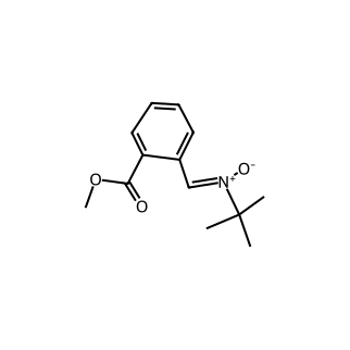 COC(=O)c1ccccc1/C=[N+](\[O-])C(C)(C)C